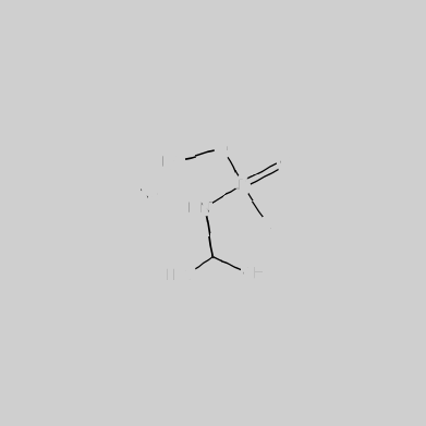 COP(=O)([S-])NC(C)C.[Na+]